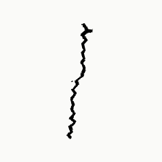 CCCCCCCCCCCCC[CH]CCCCCCCCCCC(C)C